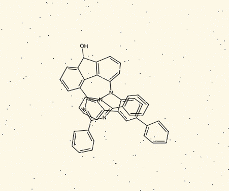 OC1c2cccc(-c3nc(-c4ccccc4)nc(-c4ccccc4)n3)c2-c2c1cccc2-n1c2ccccc2c2cc(-c3ccccc3)ccc21